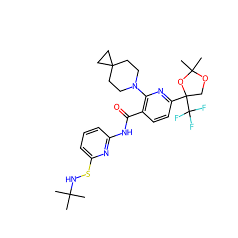 CC(C)(C)NSc1cccc(NC(=O)c2ccc(C3(C(F)(F)F)COC(C)(C)O3)nc2N2CCC3(CC2)CC3)n1